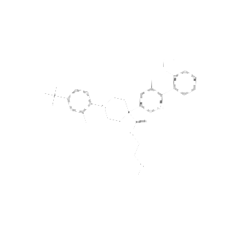 CNCCNC(=O)C1(c2cnc(-c3ccccc3OC)c(F)c2)CCN(c2ccc(C(F)(F)F)cc2F)CC1